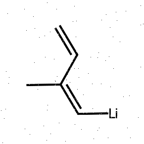 [Li][CH]=C(C)C=C